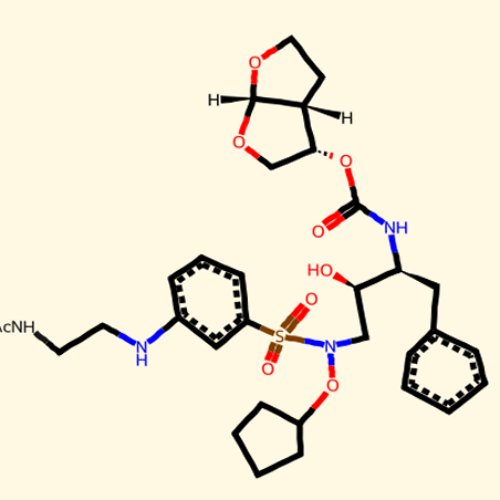 CC(=O)NCCNc1cccc(S(=O)(=O)N(C[C@@H](O)[C@H](Cc2ccccc2)NC(=O)O[C@@H]2CO[C@@H]3OCC[C@@H]32)OC2CCCC2)c1